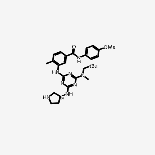 COc1ccc(NC(=O)c2ccc(C)c(Nc3nc(N[C@H]4CCNC4)nc(N(C)CC(C)(C)C)n3)c2)cc1